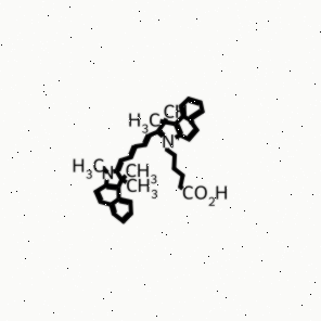 CN1/C(=C/C=C/C=C/C2=[N+](CCCCCC(=O)O)c3ccc4ccccc4c3C2(C)C)C(C)(C)c2c1ccc1ccccc21